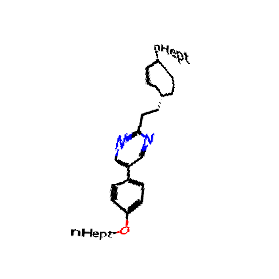 CCCCCCCOc1ccc(-c2cnc(CC[C@H]3CC[C@H](CCCCCCC)CC3)nc2)cc1